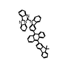 CC1(C)c2ccccc2-c2ccc(-c3c4ccccc4c(-c4ccc5c(c4)c4ccccc4n5-c4nc5ccccc5c5nc6ccccc6n45)c4ccccc34)cc21